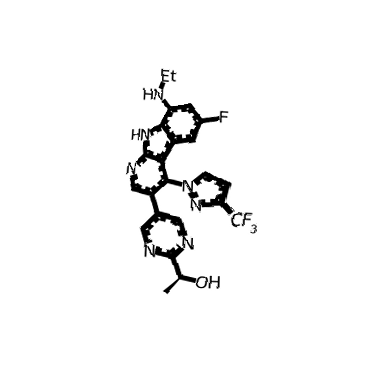 CCNc1cc(F)cc2c1[nH]c1ncc(-c3cnc([C@H](C)O)nc3)c(-n3ccc(C(F)(F)F)n3)c12